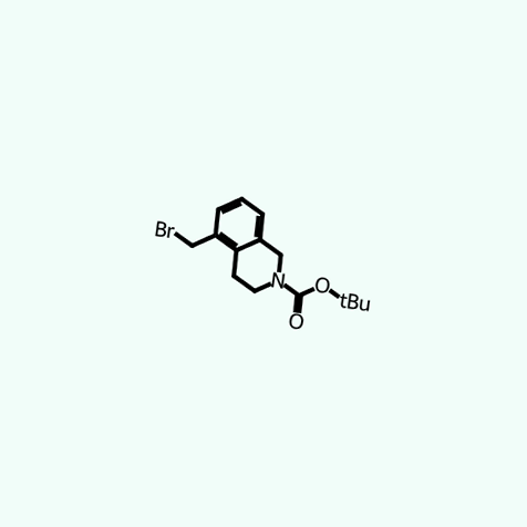 CC(C)(C)OC(=O)N1CCc2c(CBr)cccc2C1